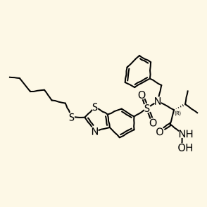 CCCCCCSc1nc2ccc(S(=O)(=O)N(Cc3ccccc3)[C@@H](C(=O)NO)C(C)C)cc2s1